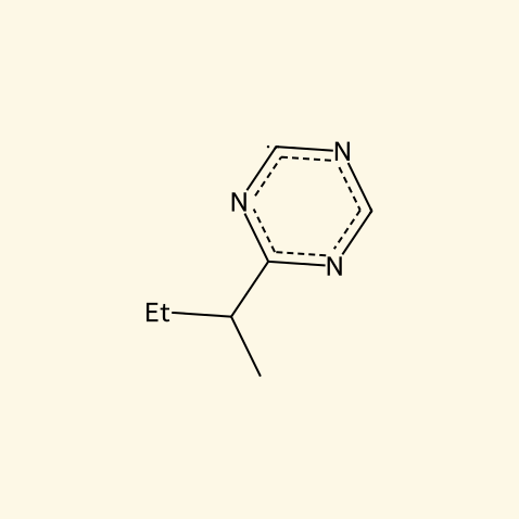 CCC(C)c1n[c]ncn1